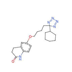 O=C1CCc2cc(OCCCCC3(C4CCCCC4)N=NN=N3)ccc2N1